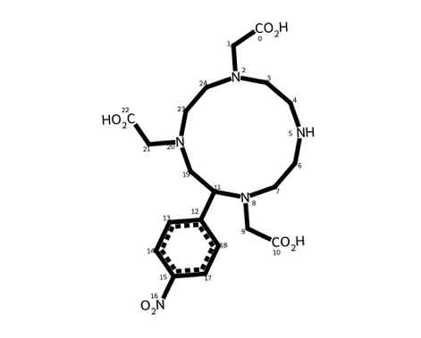 O=C(O)CN1CCNCCN(CC(=O)O)C(c2ccc([N+](=O)[O-])cc2)CN(CC(=O)O)CC1